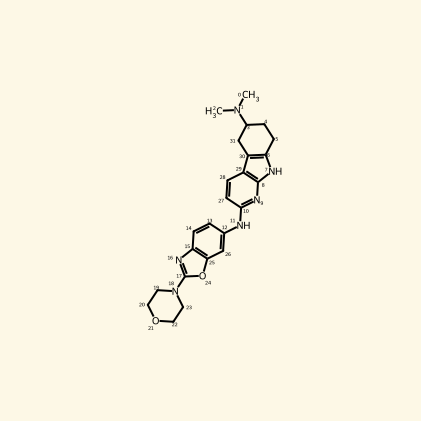 CN(C)C1CCc2[nH]c3nc(Nc4ccc5nc(N6CCOCC6)oc5c4)ccc3c2C1